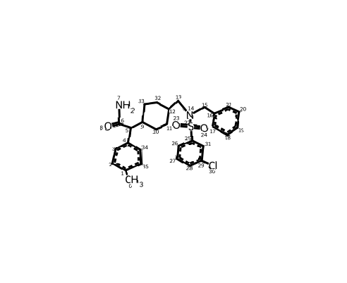 Cc1ccc(C(C(N)=O)C2CCC(CN(Cc3ccccc3)S(=O)(=O)c3cccc(Cl)c3)CC2)cc1